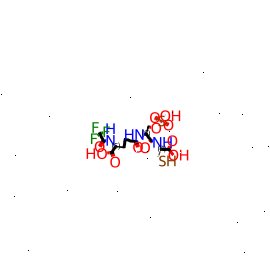 O=C(CC[C@H](NC(=O)C(F)(F)F)C(=O)O)N[C@@H](COS(=O)(=O)O)C(=O)N[C@@H](CS)C(=O)O